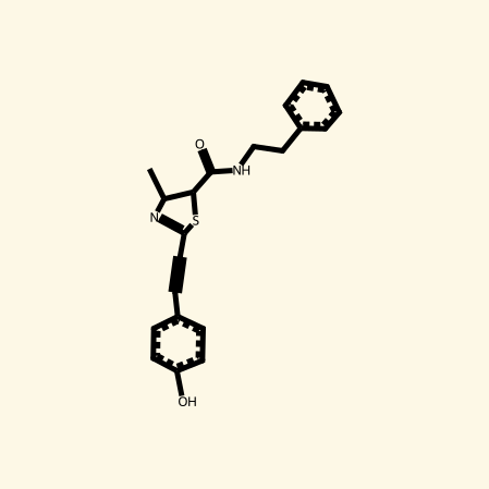 CC1N=C(C#Cc2ccc(O)cc2)SC1C(=O)NCCc1ccccc1